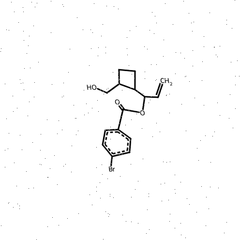 C=CC(OC(=O)c1ccc(Br)cc1)C1CCC1CO